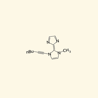 CCCCC#CN1C=CN(C)C1=C1N=CC=N1